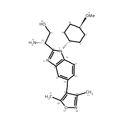 CO[C@H]1CC[C@H](n2c([C@H](N)CO)nc3cc(-c4c(C)noc4C)ccc32)CC1